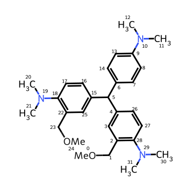 COCc1cc(C(c2ccc(N(C)C)cc2)c2ccc(N(C)C)c(COC)c2)ccc1N(C)C